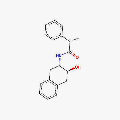 C[C@H](C(=O)N[C@H]1Cc2ccccc2C[C@@H]1O)c1ccccc1